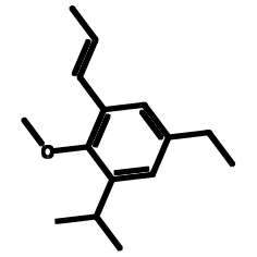 CC=Cc1cc(CC)cc(C(C)C)c1OC